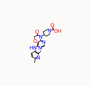 Cc1ccc(Nc2ncnc3c2OCC(=O)N3C2CCN(C(=O)O)CC2)c(C)n1